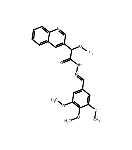 COc1cc(/C=N/NC(=O)C(OC)c2cnc3ccccc3c2)cc(OC)c1OC